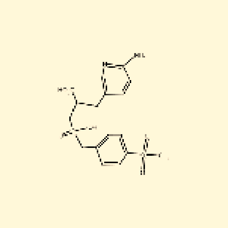 CS(=O)(=O)c1ccc(CP(=O)(O)CC(Cc2ccc(N)nc2)C(=O)O)cc1